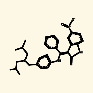 CC(C)CN(Cc1ccc(N/C(=C2\C(=O)Nc3ccc([N+](=O)[O-])cc32)c2ccccc2)cc1)CC(C)C